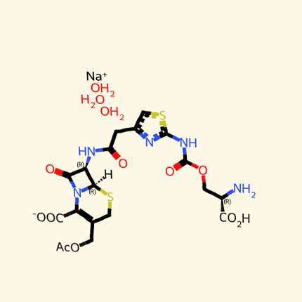 CC(=O)OCC1=C(C(=O)[O-])N2C(=O)[C@@H](NC(=O)Cc3csc(NC(=O)OC[C@@H](N)C(=O)O)n3)[C@H]2SC1.O.O.O.[Na+]